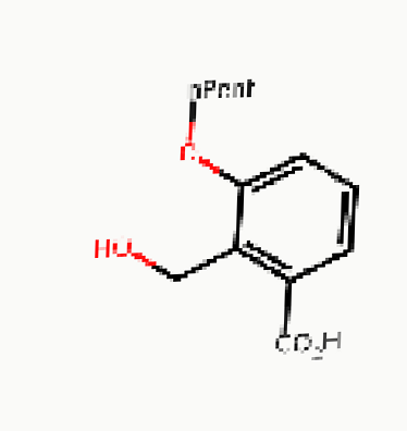 CCCCCOc1cccc(C(=O)O)c1CO